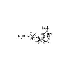 NCCNS(=O)(=O)c1ccc(-c2ccnc3[nH]c(C(F)F)cc23)s1